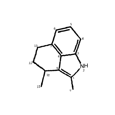 Cc1[nH]c2cccc3c2c1C(C)CC3